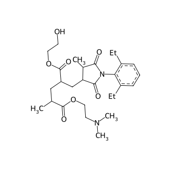 CCc1cccc(CC)c1N1C(=O)C(C)C(CC(CC(C)C(=O)OCCN(C)C)C(=O)OCCO)C1=O